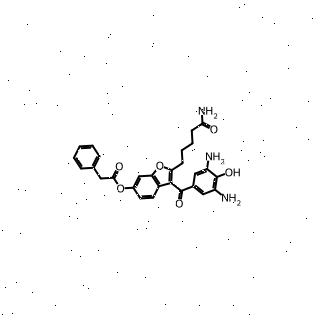 NC(=O)CCCCc1oc2cc(OC(=O)Cc3ccccc3)ccc2c1C(=O)c1cc(N)c(O)c(N)c1